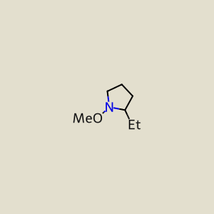 CCC1CCCN1OC